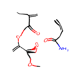 C=C(C)C(=O)OC(=C)C(=O)OC.C=CC(N)=O